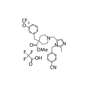 COC(=O)C1(Cc2cccc(OC(F)(F)F)c2)CCN(Cc2cnc(C)n2Cc2ccc(C#N)cc2)CC1.O=C(O)C(F)(F)F